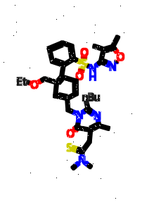 CCCCc1nc(C)c(CC(=S)N(C)C)c(=O)n1Cc1ccc(-c2ccccc2S(=O)(=O)Nc2noc(C)c2C)c(COCC)c1